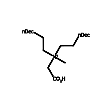 CCCCCCCCCCCC[N+](C)(CCCCCCCCCCCC)CC(=O)O